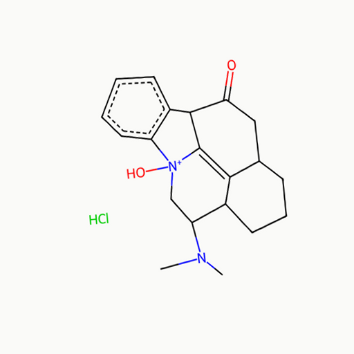 CN(C)C1C[N+]2(O)C3=C4C(CCCC41)CC(=O)C3c1ccccc12.Cl